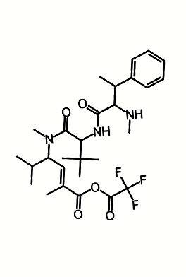 CNC(C(=O)NC(C(=O)N(C)C(C=C(C)C(=O)OC(=O)C(F)(F)F)C(C)C)C(C)(C)C)C(C)c1ccccc1